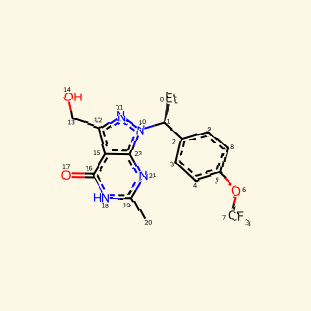 CC[C@@H](c1ccc(OC(F)(F)F)cc1)n1nc(CO)c2c(=O)[nH]c(C)nc21